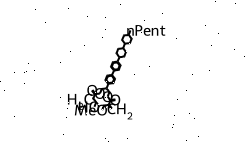 C=C(CO)C(=O)OCC(COC(=O)C(=C)COC)c1ccc(-c2ccc(C3CCC(C4CCC(CCCCC)CC4)CC3)cc2)cc1